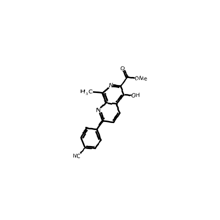 COC(=O)c1nc(C)c2nc(-c3ccc(C#N)cc3)ccc2c1O